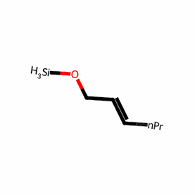 CCCC=CCO[SiH3]